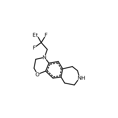 CCC(F)(F)CN1CCOc2cc3c(cc21)CCNCC3